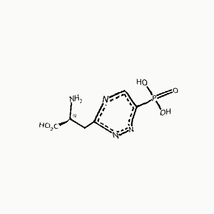 N[C@@H](Cc1ncc(P(=O)(O)O)nn1)C(=O)O